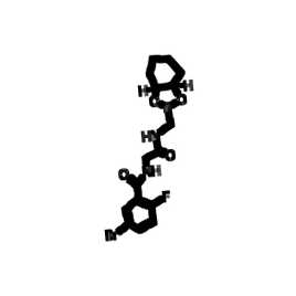 O=C(CNC(=O)c1cc(Br)ccc1F)NCB1O[C@H]2CCCC[C@H]2O1